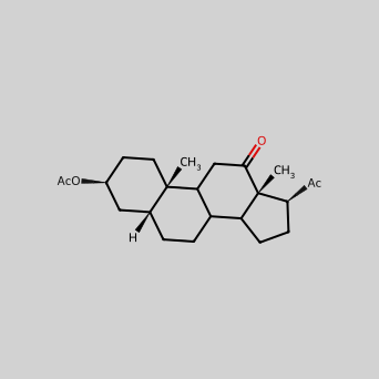 CC(=O)O[C@H]1CC[C@]2(C)C3CC(=O)[C@@]4(C)C(CC[C@@H]4C(C)=O)C3CC[C@@H]2C1